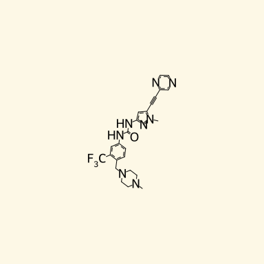 CN1CCN(Cc2ccc(NC(=O)Nc3cc(C#Cc4cnccn4)n(C)n3)cc2C(F)(F)F)CC1